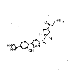 CN(c1ccc(-c2ccc(-c3cn[nH]c3)cc2O)nn1)C1[C@H]2CN(C(=O)CCN)C[C@@H]12